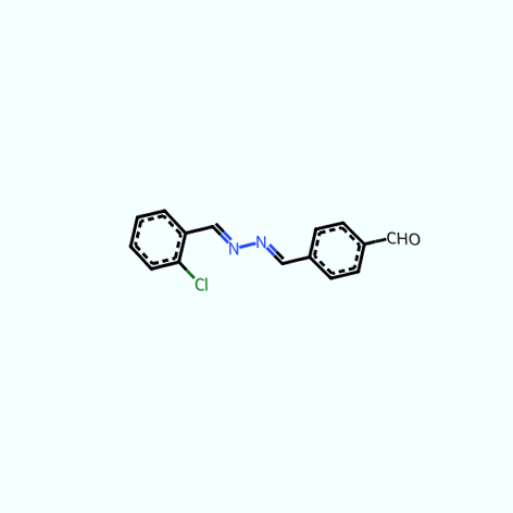 O=Cc1ccc(C=NN=Cc2ccccc2Cl)cc1